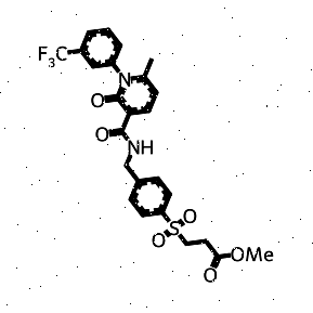 COC(=O)CCS(=O)(=O)c1ccc(CNC(=O)c2ccc(C)n(-c3cccc(C(F)(F)F)c3)c2=O)cc1